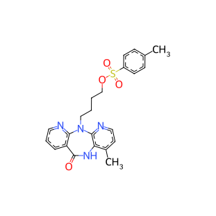 Cc1ccc(S(=O)(=O)OCCCCN2c3ncccc3C(=O)Nc3c(C)ccnc32)cc1